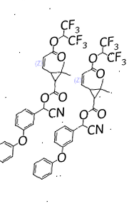 CC1(C)C(/C=C\C(=O)OC(C(F)(F)F)C(F)(F)F)C1C(=O)OC(C#N)c1cccc(Oc2ccccc2)c1.CC1(C)C(/C=C\C(=O)OC(C(F)(F)F)C(F)(F)F)C1C(=O)OC(C#N)c1cccc(Oc2ccccc2)c1